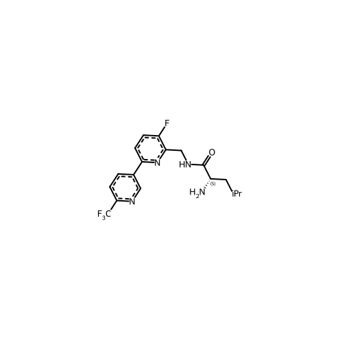 CC(C)C[C@H](N)C(=O)NCc1nc(-c2ccc(C(F)(F)F)nc2)ccc1F